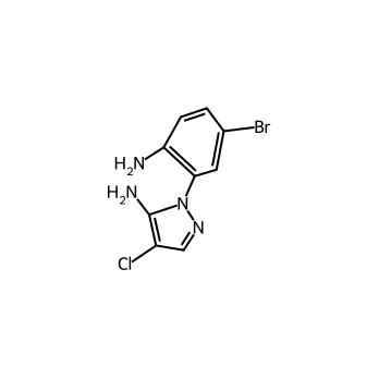 Nc1ccc(Br)cc1-n1ncc(Cl)c1N